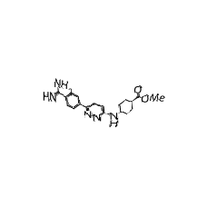 COC(=O)[C@H]1CC[C@H](Nc2ccc(-c3ccc(C(=N)N)cc3)nn2)CC1